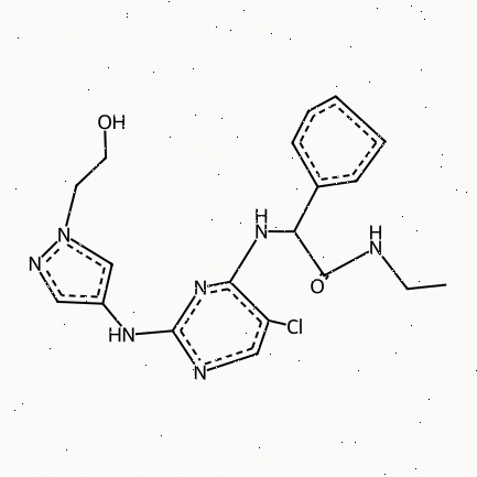 CCNC(=O)C(Nc1nc(Nc2cnn(CCO)c2)ncc1Cl)c1ccccc1